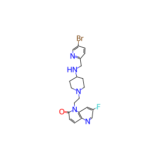 O=c1ccc2ncc(F)cc2n1CCN1CCC(NCc2ccc(Br)cn2)CC1